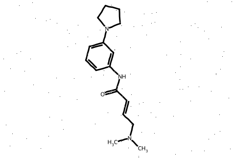 CN(C)C/C=C/C(=O)Nc1cccc(N2CCCC2)c1